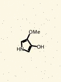 COc1c[nH]cc1O